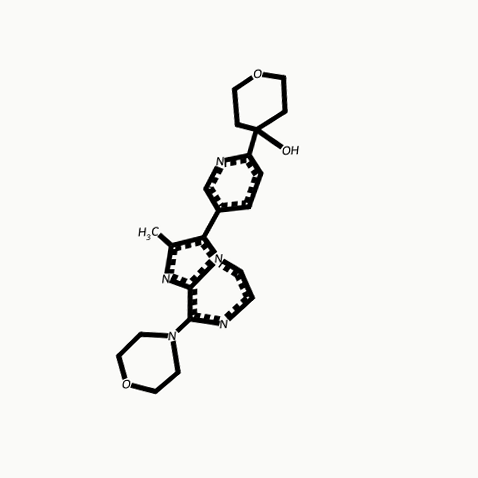 Cc1nc2c(N3CCOCC3)nccn2c1-c1ccc(C2(O)CCOCC2)nc1